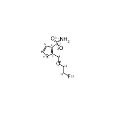 NS(=O)(=O)c1ccsc1COCCF